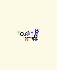 COC(CCCc1c[nH]c2ccc(-n3cnnc3)cc12)CC(c1ccc(F)cc1)N1CCNCC1